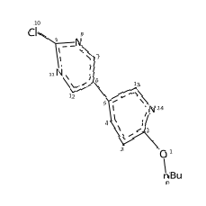 CCCCOc1ccc(-c2cnc(Cl)nc2)cn1